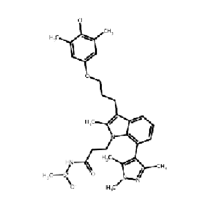 Cc1cc(OCCCc2c(C)n(CCC(=O)N[S+](C)[O-])c3c(-c4c(C)nn(C)c4C)cccc23)cc(C)c1Cl